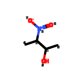 CC(O)C(C)[N+](=O)[O-]